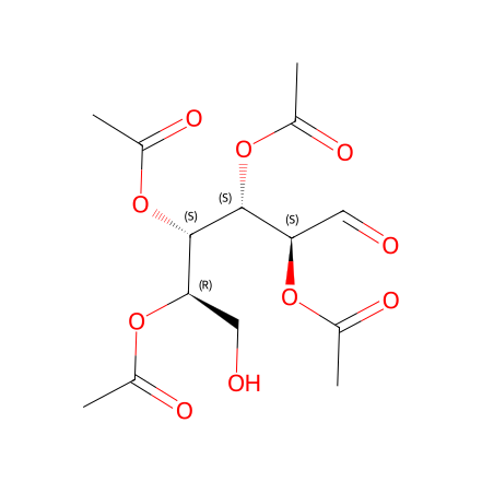 CC(=O)O[C@H]([C@H](OC(C)=O)[C@@H](C=O)OC(C)=O)[C@@H](CO)OC(C)=O